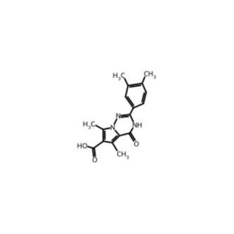 Cc1ccc(-c2nn3c(C)c(C(=O)O)c(C)c3c(=O)[nH]2)cc1C